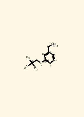 NCc1cnnc(OCC(F)(F)F)c1